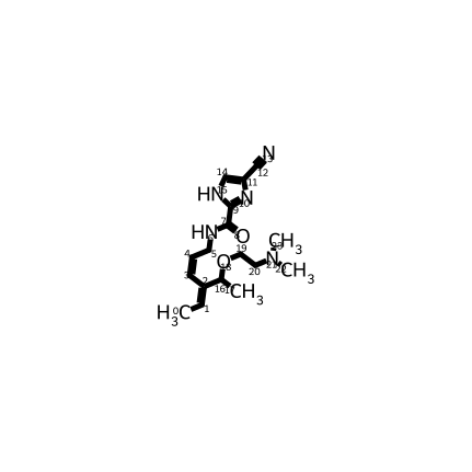 C/C=C(\C=C/CNC(=O)c1nc(C#N)c[nH]1)C(C)OCCN(C)C